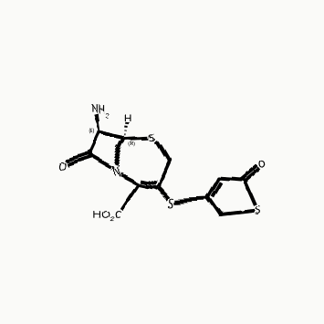 N[C@@H]1C(=O)N2C(C(=O)O)=C(SC3=CC(=O)SC3)CS[C@H]12